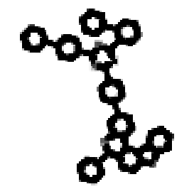 c1ccc(-c2ccc(-c3nc(-c4ccc(-c5ccc6c(c5)nc(-c5ccccc5)c5ccc7sc8ccccc8c7c56)cc4)nc(-c4ccccc4-c4ccccc4)n3)cc2)cc1